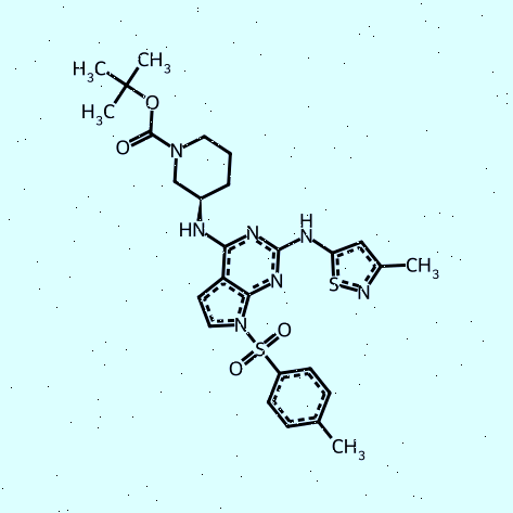 Cc1ccc(S(=O)(=O)n2ccc3c(N[C@@H]4CCCN(C(=O)OC(C)(C)C)C4)nc(Nc4cc(C)ns4)nc32)cc1